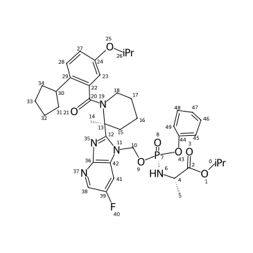 CC(C)OC(=O)[C@H](C)N[P@@](=O)(OCn1c([C@]2(C)CCCCN2C(=O)c2cc(OC(C)C)ccc2C2CCCC2)nc2ncc(F)cc21)Oc1ccccc1